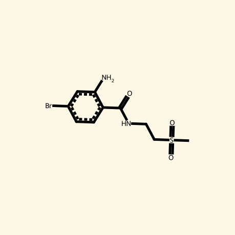 CS(=O)(=O)CCNC(=O)c1ccc(Br)cc1N